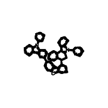 c1ccc(-n2c3c(c4ccccc42)-c2ccccc2C(c2cccc4oc5ccc(-c6ccc7c(c6)c6ccccc6n7-c6ccccc6)cc5c24)C3)cc1